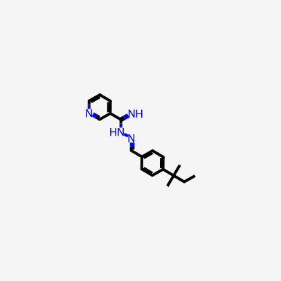 CCC(C)(C)c1ccc(C=NNC(=N)c2cccnc2)cc1